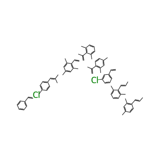 C=C(C)c1c(C)cccc1C.C=C(C)c1ccc(C)cc1C.C=Cc1c(C)cc(C)cc1C.C=Cc1cccc(Cl)c1.CC(C)=Cc1ccc(C)cc1.CC=Cc1c(C)cccc1C.CC=Cc1ccc(C)cc1C.ClC=Cc1ccccc1